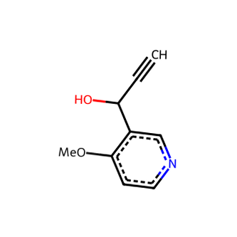 C#CC(O)c1cnccc1OC